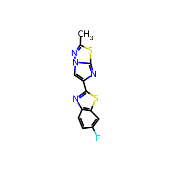 Cc1nn2cc(-c3nc4ccc(F)cc4s3)nc2s1